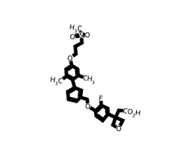 Cc1cc(OCCCS(C)(=O)=O)cc(C)c1-c1cccc(COc2ccc(C3(CC(=O)O)COC3)cc2F)c1